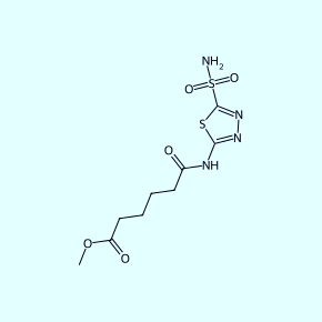 COC(=O)CCCCC(=O)Nc1nnc(S(N)(=O)=O)s1